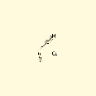 C=CC#N.[Cu]